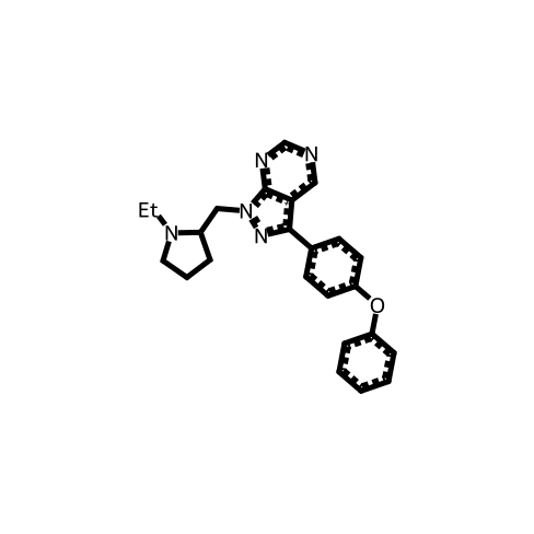 CCN1CCCC1Cn1nc(-c2ccc(Oc3ccccc3)cc2)c2cncnc21